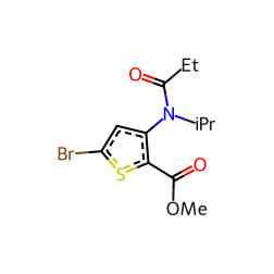 CCC(=O)N(c1cc(Br)sc1C(=O)OC)C(C)C